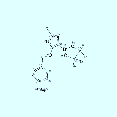 COc1ccc(COc2nn(C)cc2B2OC(C)(C)C(C)(C)O2)cc1